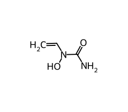 C=CN(O)C(N)=O